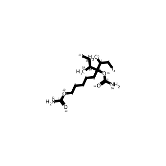 CC(CI)C(CCCCCOC(N)=O)(OC(N)=O)C(C)CI